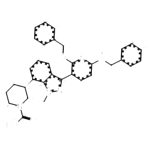 Cn1nc(-c2ccc(OCc3ccccc3)nc2OCc2ccccc2)c2cccc([C@@H]3CCCN(C(=O)O)C3)c21